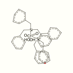 [O]=[Cr](=[O])([OH])([OH])([Si](Cc1ccccc1)(Cc1ccccc1)Cc1ccccc1)[Si](Cc1ccccc1)(Cc1ccccc1)Cc1ccccc1